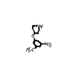 Cc1cc(OC2CCNCC2)cc([N+](=O)[O-])c1